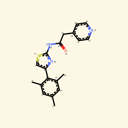 Cc1cc(C)c(-c2csc(NC(=O)Cc3ccncc3)n2)c(C)c1